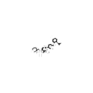 Cc1ccc(C2CC2)c(Oc2ccc(-n3ncc(NC[C@@]4(F)CCCOC4)c(Cl)c3=O)cn2)c1